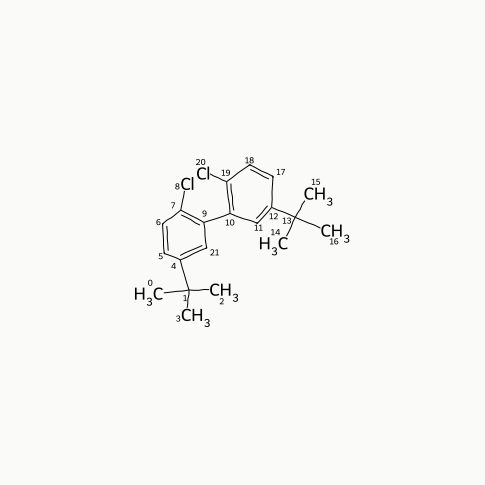 CC(C)(C)c1ccc(Cl)c(-c2cc(C(C)(C)C)ccc2Cl)c1